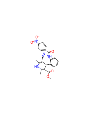 COC(=O)C1=C(C)NC(C)=C(C#N)C1c1ccccc1NC(=O)c1ccc([N+](=O)[O-])cc1